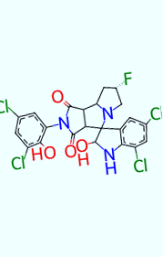 O=C1C2C3C[C@H](F)CN3C3(c4cc(Cl)cc(Cl)c4NC3O)C2C(=O)N1c1cc(Cl)cc(Cl)c1O